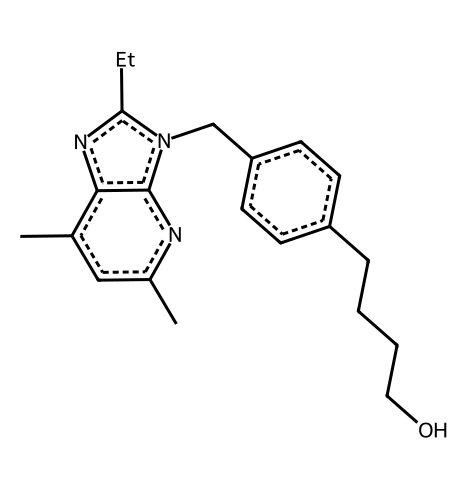 CCc1nc2c(C)cc(C)nc2n1Cc1ccc(CCCCO)cc1